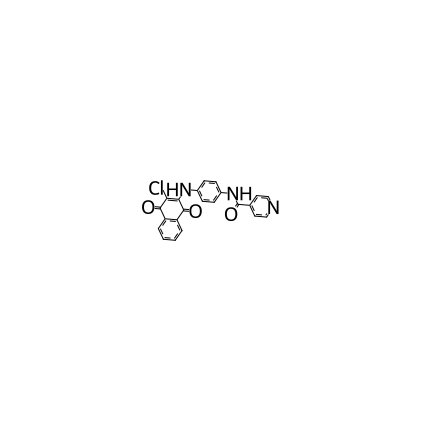 O=C(Nc1ccc(NC2=C(Cl)C(=O)c3ccccc3C2=O)cc1)c1ccncc1